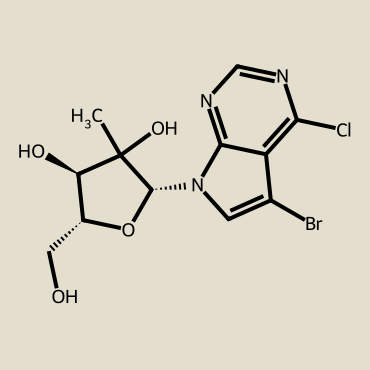 CC1(O)[C@H](O)[C@@H](CO)O[C@H]1n1cc(Br)c2c(Cl)ncnc21